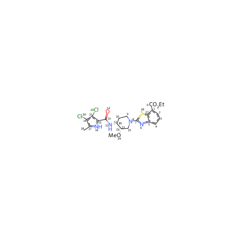 CCOC(=O)c1cccc2nc(N3CC[C@@H](NC(=O)c4[nH]c(C)c(Cl)c4Cl)[C@@H](OC)C3)sc12